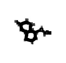 CCCCOc1cccc2cc(I)cnc12